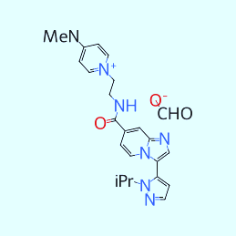 CNc1cc[n+](CCNC(=O)c2ccn3c(-c4ccnn4C(C)C)cnc3c2)cc1.O=C[O-]